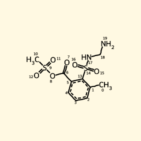 Cc1cccc(C(=O)OS(C)(=O)=O)c1S(=O)(=O)NCN